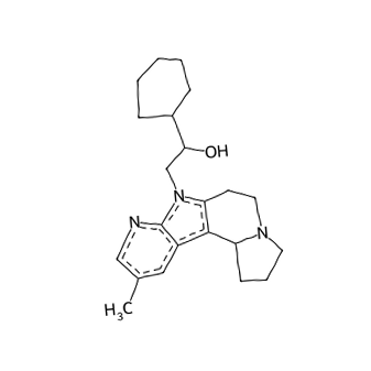 Cc1cnc2c(c1)c1c(n2CC(O)C2CCCCC2)CCN2CCCC12